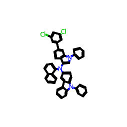 Clc1cc(Cl)cc(-c2ccc3c(N(c4ccc5c(c4)c4ccccc4n5-c4ccccc4)c4cccc5ccccc45)cn(-c4ccccc4)c3c2)c1